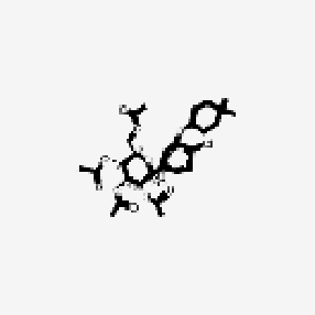 CC(=O)OC[C@H]1O[C@@](O)(c2ccc(Cl)c(OC3CCC(C)(C)CC3)c2)[C@H](OC(C)=O)[C@@H](OC(C)=O)[C@@H]1OC(C)=O